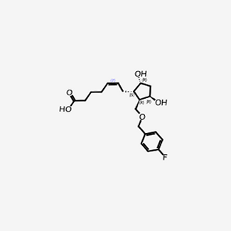 O=C(O)CCC/C=C\C[C@H]1[C@H](COCc2ccc(F)cc2)[C@H](O)C[C@H]1O